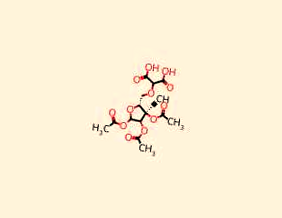 C#C[C@@]1(OC(C)=O)[C@@H](COC(C(=O)O)C(=O)O)OC(OC(C)=O)[C@@H]1OC(C)=O